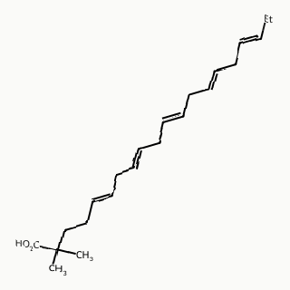 CCC=CCC=CCC=CCC=CCC=CCCC(C)(C)C(=O)O